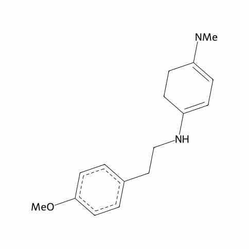 CNC1=CC=C(NCCc2ccc(OC)cc2)CC1